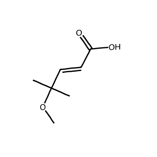 COC(C)(C)/C=C/C(=O)O